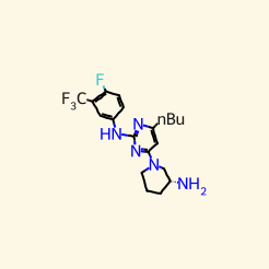 CCCCc1cc(N2CCC[C@@H](N)C2)nc(Nc2ccc(F)c(C(F)(F)F)c2)n1